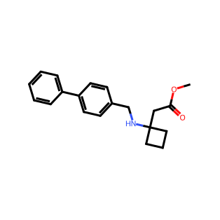 COC(=O)CC1(NCc2ccc(-c3ccccc3)cc2)CCC1